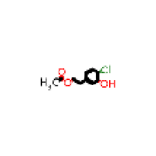 CC(=O)OCCc1ccc(Cl)c(O)c1